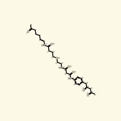 CC(=O)CCCCCNC(=O)CCCOCCNC(=O)CC(=O)Nc1ccc(CC(=O)CC(C)=O)cc1